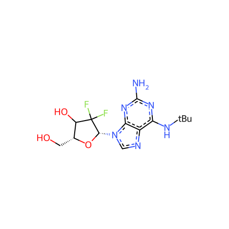 CC(C)(C)Nc1nc(N)nc2c1ncn2[C@@H]1O[C@H](CO)C(O)C1(F)F